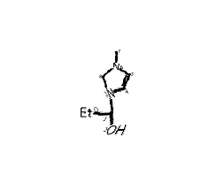 CCC(O)N1C=CN(C)C1